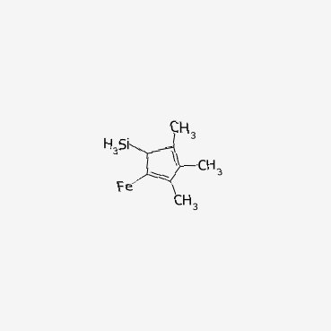 CC1=C(C)C([SiH3])[C]([Fe])=C1C